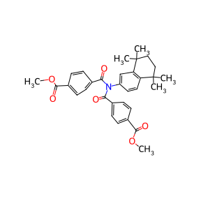 COC(=O)c1ccc(C(=O)N(C(=O)c2ccc(C(=O)OC)cc2)c2ccc3c(c2)C(C)(C)CCC3(C)C)cc1